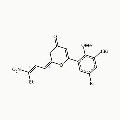 CC/C(=C\C=C1/CC(=O)C=C(c2cc(Br)cc(C(C)(C)C)c2OC)O1)[N+](=O)[O-]